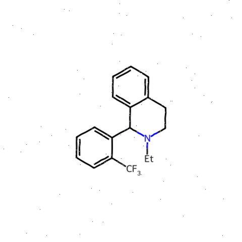 CCN1CCc2ccccc2C1c1ccccc1C(F)(F)F